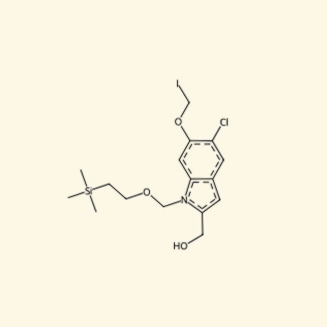 C[Si](C)(C)CCOCn1c(CO)cc2cc(Cl)c(OCI)cc21